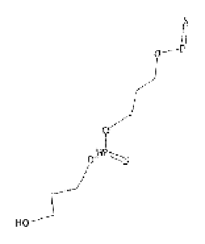 OCCCO[PH](=S)OCCCOP=S